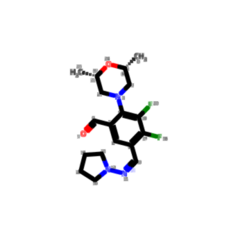 C[C@@H]1CN(c2c(C=O)cc(/C=N\N3CCCC3)c(F)c2F)C[C@H](C)O1